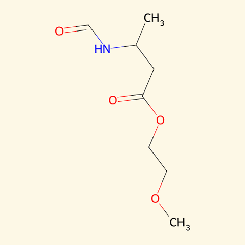 COCCOC(=O)CC(C)NC=O